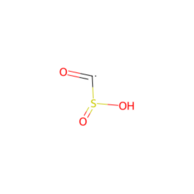 O=[C]S(=O)O